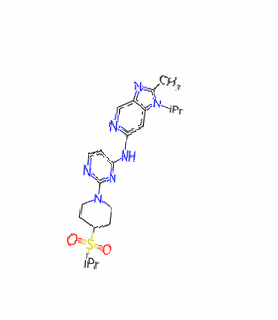 Cc1nc2cnc(Nc3ccnc(N4CCC(S(=O)(=O)C(C)C)CC4)n3)cc2n1C(C)C